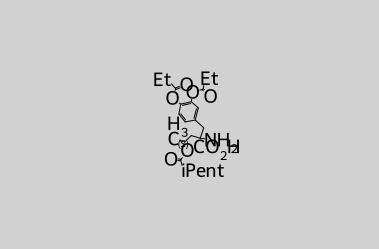 CCCC(C)C(=O)O[C@@H](C)CC(N)(Cc1ccc(OC(=O)CC)c(OC(=O)CC)c1)C(=O)O